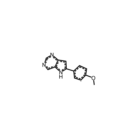 COc1[c]cc(-c2cc3ncncc3[nH]2)cc1